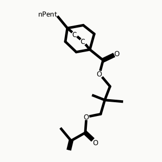 C=C(C)C(=O)OCC(C)(C)COC(=O)C12CCC(CCCCC)(CC1)CC2